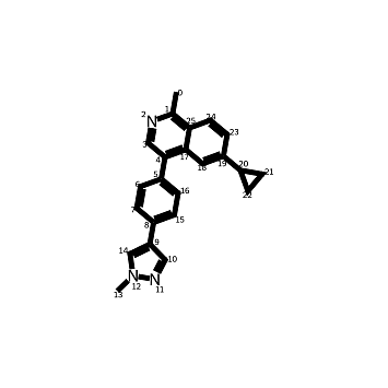 Cc1ncc(-c2ccc(-c3cnn(C)c3)cc2)c2cc(C3CC3)ccc12